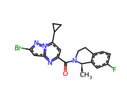 C[C@@H]1c2cc(F)ccc2CCN1C(=O)c1cc(C2CC2)n2nc(Br)cc2n1